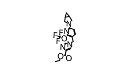 CCOC(=O)c1cn(Cc2ccc(N3CC4CC4C3)nc2OC(F)(F)F)cn1